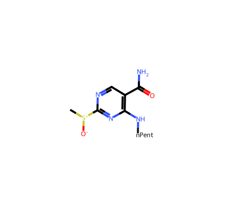 CCCCCNc1nc([S+](C)[O-])ncc1C(N)=O